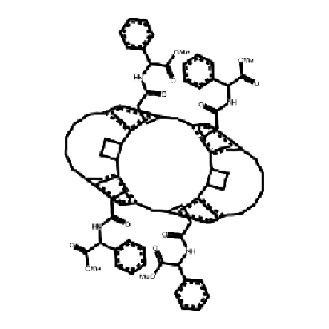 COC(=O)C(NC(=O)Cc1c2cc3cc1C1CCC1c1cc(cc(c1CC(=O)NC(C(=O)OC)c1ccccc1)Cc1cc4cc(c1CC(=O)NC(C(=O)OC)c1ccccc1)C1CCC1c1cc(cc(c1CC(=O)NC(C(=O)OC)c1ccccc1)C2)CCCCC4)CCCCC3)c1ccccc1